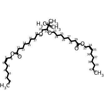 CCCCCC/C=C\COC(=O)CCCCCCCOCC(OCCCCCCCC(=O)OC/C=C\CCCCCC)C(C)(C)C